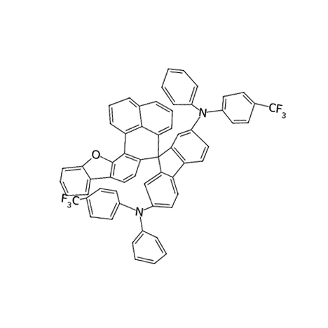 FC(F)(F)c1ccc(N(c2ccccc2)c2ccc3c(c2)C2(c4cc(N(c5ccccc5)c5ccc(C(F)(F)F)cc5)ccc4-3)c3ccc4c(oc5ccccc54)c3-c3cccc4cccc2c34)cc1